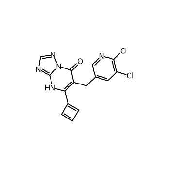 O=c1c(Cc2cnc(Cl)c(Cl)c2)c(C2=CC=C2)[nH]c2ncnn12